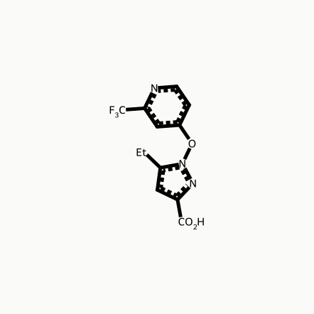 CCc1cc(C(=O)O)nn1Oc1ccnc(C(F)(F)F)c1